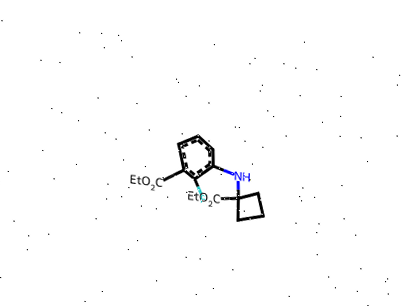 CCOC(=O)c1cccc(NC2(C(=O)OCC)CCC2)c1F